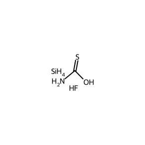 F.NC(O)=S.[SiH4]